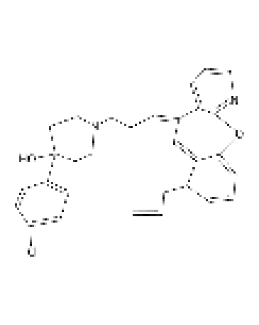 C=CCC1C=CC=C2Oc3ncccc3C(=CCCN3CCC(O)(c4ccc(Cl)cc4)CC3)C=C21